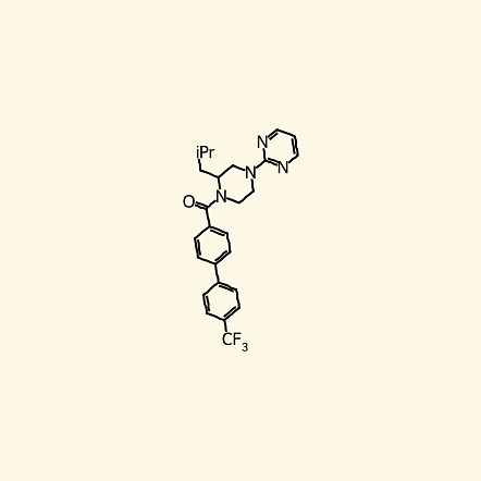 CC(C)CC1CN(c2ncccn2)CCN1C(=O)c1ccc(-c2ccc(C(F)(F)F)cc2)cc1